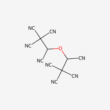 N#CC(OC(C#N)C(C#N)(C#N)C#N)C(C#N)(C#N)C#N